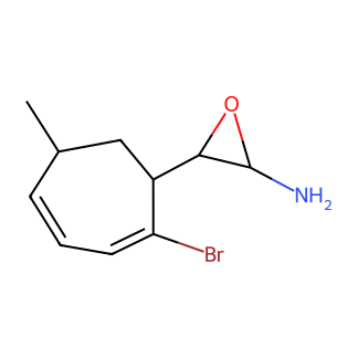 CC1C=CC=C(Br)C(C2OC2N)C1